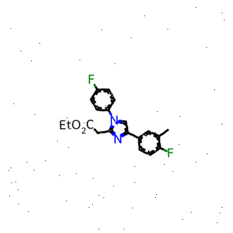 CCOC(=O)Cc1nc(-c2ccc(F)c(C)c2)cn1-c1ccc(F)cc1